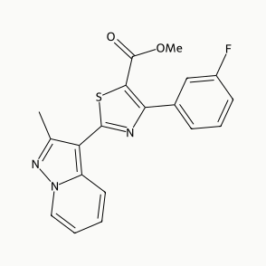 COC(=O)c1sc(-c2c(C)nn3ccccc23)nc1-c1cccc(F)c1